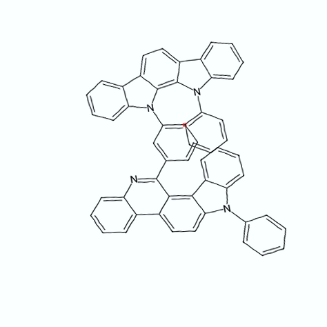 c1ccc(-n2c3ccccc3c3c4c(-c5cccc(-n6c7ccccc7c7ccc8c9ccccc9n(-c9ccccc9)c8c76)c5)nc5ccccc5c4ccc32)cc1